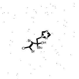 CC(C)(C)C(O)(Cn1cncn1)C(Br)=C(Cl)Br